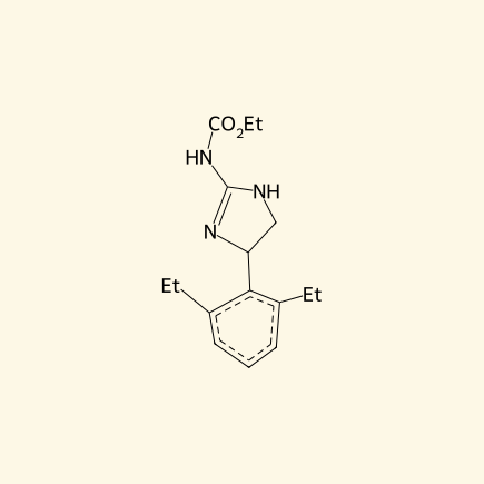 CCOC(=O)NC1=NC(c2c(CC)cccc2CC)CN1